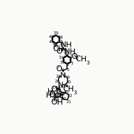 COc1cc(CC(=O)N2CCCN(C(=O)C3C(C(=O)O)C4CCC3(C)C4(C)C)CC2)ccc1NC(=O)Nc1ccccc1C